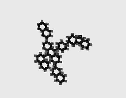 c1ccc2cc(-c3ccc4c(-c5cccc6ccccc56)c5cc(-c6ccc7ccccc7c6)ccc5c(-c5ccc(-c6ccc7oc8ccccc8c7c6)cc5)c4c3)ccc2c1